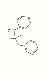 CC(C)(Cc1ccccc1)C(=O)c1ccccc1